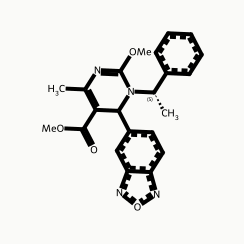 COC(=O)C1=C(C)N=C(OC)N([C@@H](C)c2ccccc2)C1c1ccc2nonc2c1